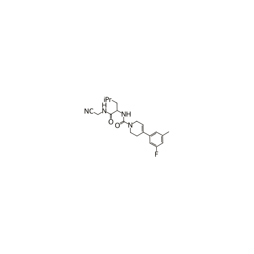 Cc1cc(F)cc(C2=CCN(C(=O)NC(CC(C)C)C(=O)NCC#N)CC2)c1